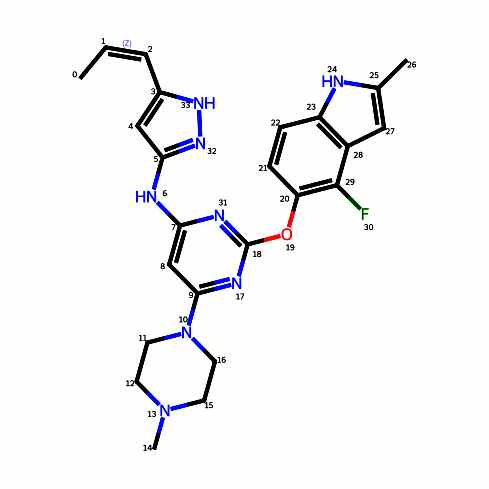 C/C=C\c1cc(Nc2cc(N3CCN(C)CC3)nc(Oc3ccc4[nH]c(C)cc4c3F)n2)n[nH]1